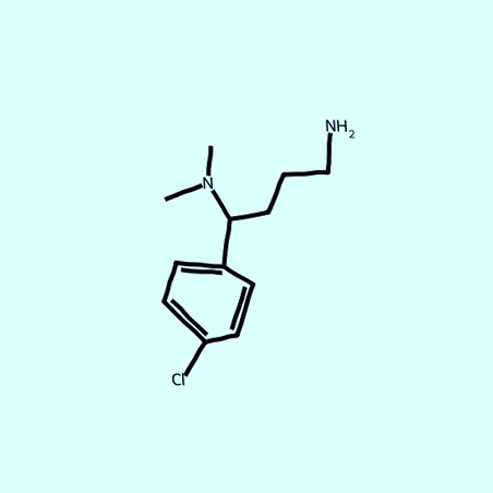 CN(C)C(CCCN)c1ccc(Cl)cc1